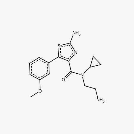 COc1cccc(-c2sc(N)nc2C(=O)N(CCN)C2CC2)c1